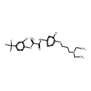 C=C(Oc1ccc(C(F)(F)F)cc1Cl)C(=O)Nc1ccc(OCCCN(CC)CC)c(Cl)c1